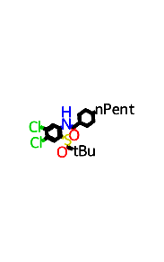 CCCCCC1CCC(C(=O)Nc2cc(Cl)c(Cl)cc2SC(=O)C(C)(C)C)CC1